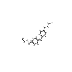 CCCCc1ccc(Sc2ccc(CCCC)cc2)cc1